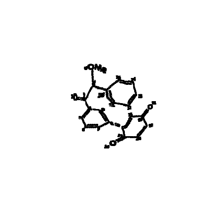 COC(C(=O)c1ccccc1)c1ccccc1.O=C1C=CC(=O)C=C1